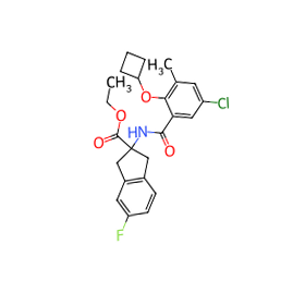 CCOC(=O)C1(NC(=O)c2cc(Cl)cc(C)c2OC2CCC2)Cc2ccc(F)cc2C1